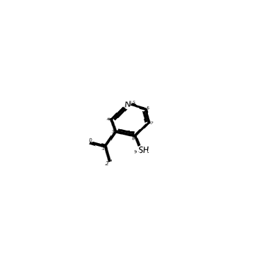 CC(C)c1cnccc1S